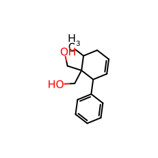 CC1CC=CC(c2ccccc2)C1(CO)CO